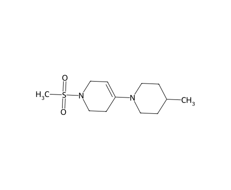 CC1CCN(C2=CCN(S(C)(=O)=O)CC2)CC1